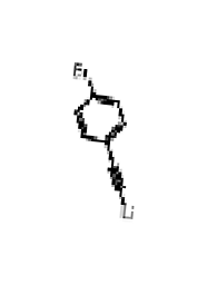 [Li][C]#Cc1ccc(Br)cc1